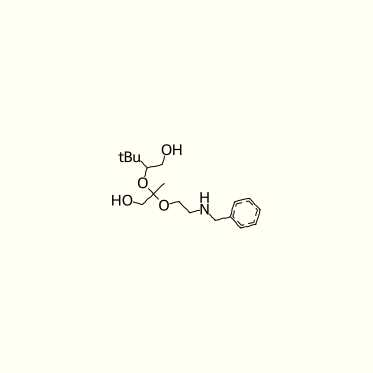 CC(CO)(OCCNCc1ccccc1)OC(CO)C(C)(C)C